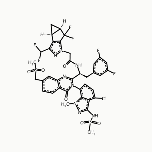 Cn1nc(NS(C)(=O)=O)c2c(Cl)ccc(-n3c([C@H](Cc4cc(F)cc(F)c4)NC(=O)Cn4nc(C(F)F)c5c4C(F)(F)[C@@H]4C[C@H]54)nc4cc(CS(C)(=O)=O)ccc4c3=O)c21